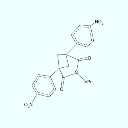 CCCN1C(=O)C2(c3ccc([N+](=O)[O-])cc3)CC(c3ccc([N+](=O)[O-])cc3)(C2)C1=O